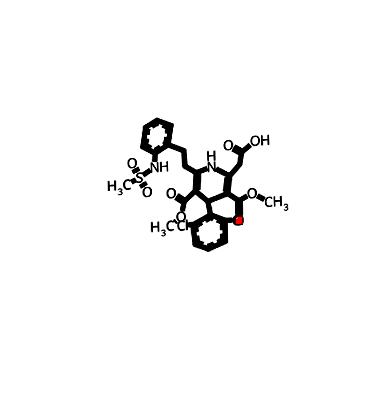 COC(=O)C1=C(CCc2ccccc2NS(C)(=O)=O)NC(CC(=O)O)=C(C(=O)OC)C1c1c(Cl)cccc1Cl